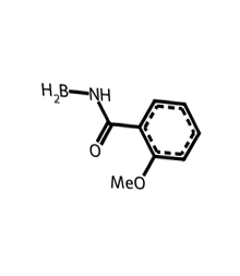 BNC(=O)c1ccccc1OC